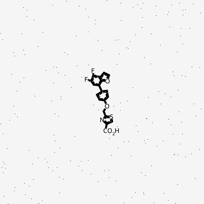 O=C(O)c1csc(COc2ccc(-c3cc(F)c(F)c4ccoc34)cc2)n1